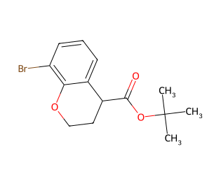 CC(C)(C)OC(=O)C1CCOc2c(Br)cccc21